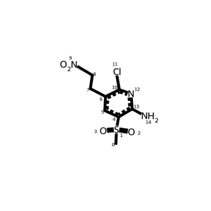 CS(=O)(=O)c1cc(CC[N+](=O)[O-])c(Cl)nc1N